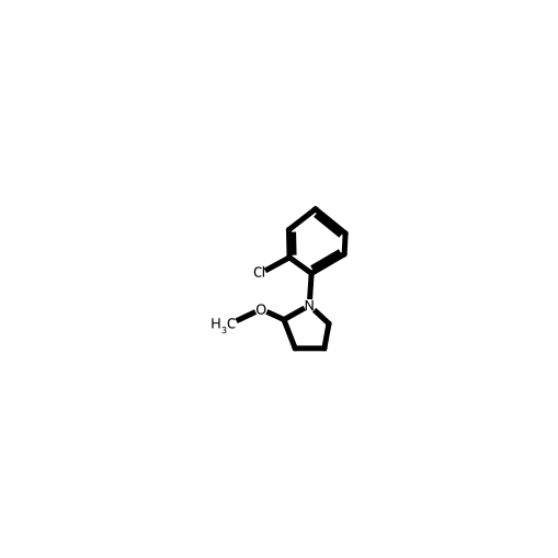 COC1CCCN1c1ccccc1Cl